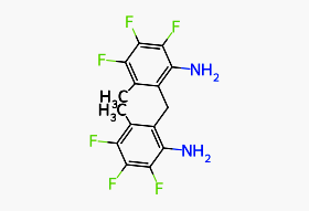 Cc1c(F)c(F)c(F)c(N)c1Cc1c(C)c(F)c(F)c(F)c1N